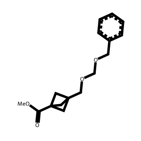 COC(=O)C12CC(COCOCc3ccccc3)(C1)C2